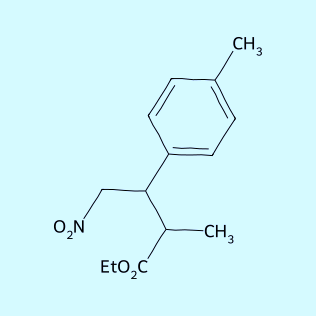 CCOC(=O)C(C)C(C[N+](=O)[O-])c1ccc(C)cc1